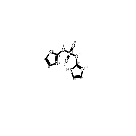 O=S(=O)(Oc1nccs1)Oc1nccs1